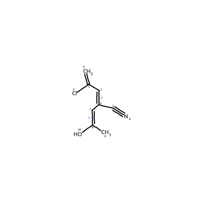 C=C(Cl)/C=C(C#N)\C=C(/C)O